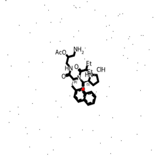 CCC(CC)C(=O)N(C(=O)[C@@H]1CCCN1)[C@H](Cc1ccc2ccccc2c1)C(=O)NCC(CN)OC(C)=O.Cl